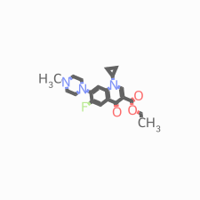 CCOC(=O)c1cn(C2CC2)c2cc(N3CCN(C)CC3)c(F)cc2c1=O